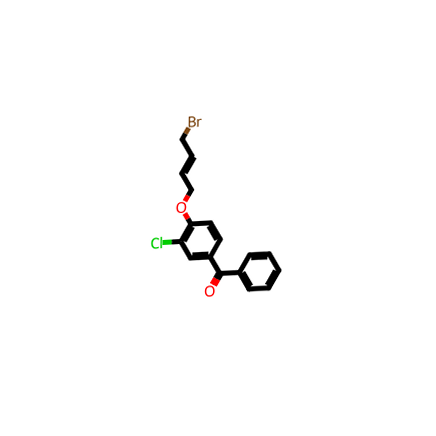 O=C(c1ccccc1)c1ccc(OC/C=C/CBr)c(Cl)c1